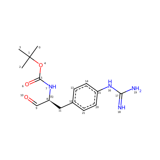 CC(C)(C)OC(=O)N[C@H](C=O)Cc1ccc(NC(=N)N)cc1